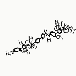 Cc1cc(C(C)(C)N)ccc1-c1ccc(NC(=O)c2ccc(-c3ccc(C(=O)NC(C)(C)c4ccc(-c5ccc(N)cc5C(F)(F)F)c(C(F)(F)F)c4)cc3)cc2)cc1C(F)(F)F